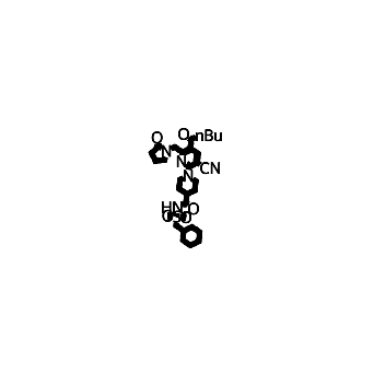 CCCCC(=O)c1cc(C#N)c(N2CCC(C(=O)NS(=O)(=O)CC3CCCCC3)CC2)nc1CN1CCCC1=O